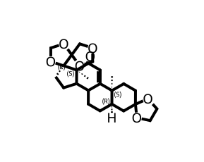 C[C@]12C(=O)C=C3C(CC[C@@H]4CC5(CC[C@]34C)OCCO5)C1CC[C@@]21OCOC12COCO2